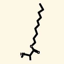 CCCCCCCCCCOC(=O)C(C)NC